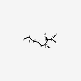 CCNCCN(C)C(=O)N(C)C